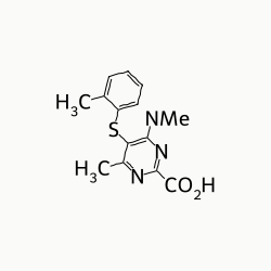 CNc1nc(C(=O)O)nc(C)c1Sc1ccccc1C